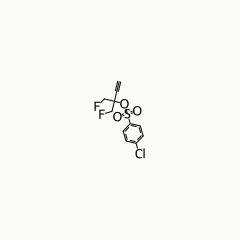 C#CC(CF)(CF)OS(=O)(=O)c1ccc(Cl)cc1